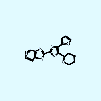 [C]1CCOC(c2sc(-c3nc4cnccc4[nH]3)nc2-c2ccco2)C1